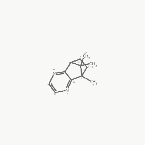 CC12CCC(c3nccnc31)C2(C)C